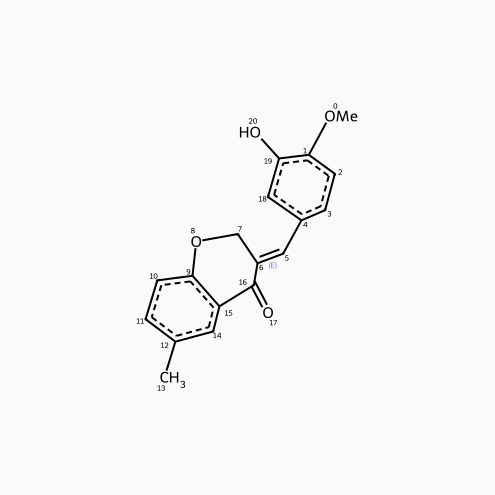 COc1ccc(/C=C2\COc3ccc(C)cc3C2=O)cc1O